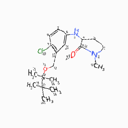 CN1CCC(Nc2ccc(Cl)c(CO[Si](C)(C)C(C)(C)C)c2)C1=O